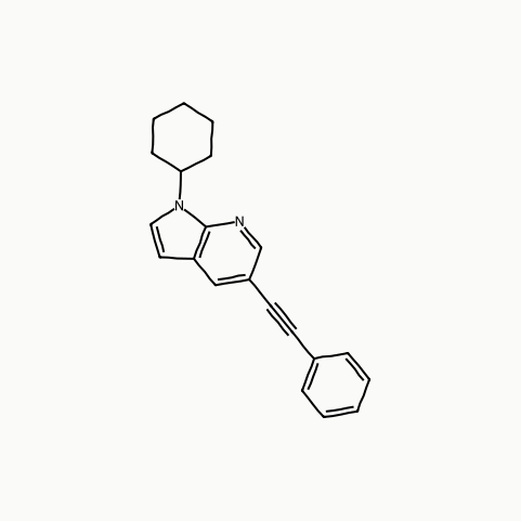 C(#Cc1cnc2c(ccn2C2CCCCC2)c1)c1ccccc1